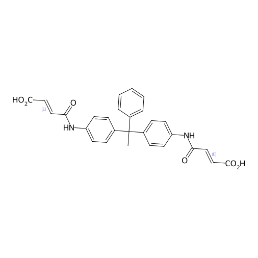 CC(c1ccccc1)(c1ccc(NC(=O)/C=C/C(=O)O)cc1)c1ccc(NC(=O)/C=C/C(=O)O)cc1